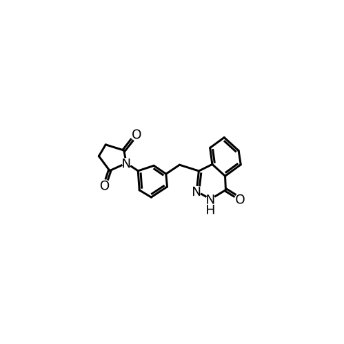 O=C1CCC(=O)N1c1cccc(Cc2n[nH]c(=O)c3ccccc23)c1